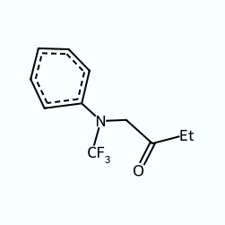 CCC(=O)CN(c1ccccc1)C(F)(F)F